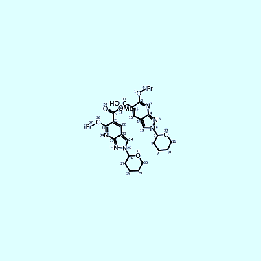 CC(C)Oc1nc2nn(C3CCCCO3)cc2cc1C(=O)O.COC(=O)c1cc2cn(C3CCCCO3)nc2nc1OC(C)C